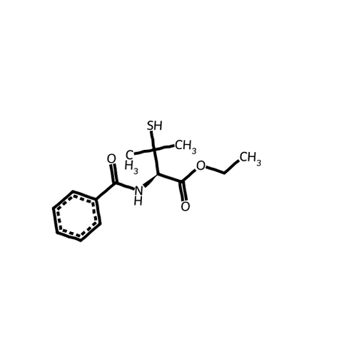 CCOC(=O)[C@@H](NC(=O)c1ccccc1)C(C)(C)S